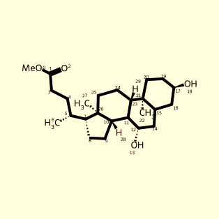 COC(=O)CC[C@@H](C)[C@H]1CC[C@H]2C3[C@@H](O)CC4C[C@H](O)CC[C@]4(C)[C@H]3CC[C@]12C